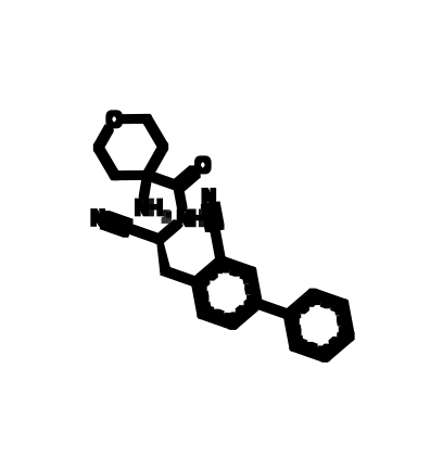 N#Cc1cc(-c2ccccc2)ccc1C[C@@H](C#N)NC(=O)C1(N)CCOCC1